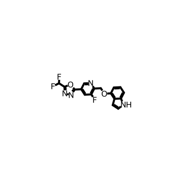 Fc1cc(-c2nnc(C(F)F)o2)cnc1COc1cccc2[nH]ccc12